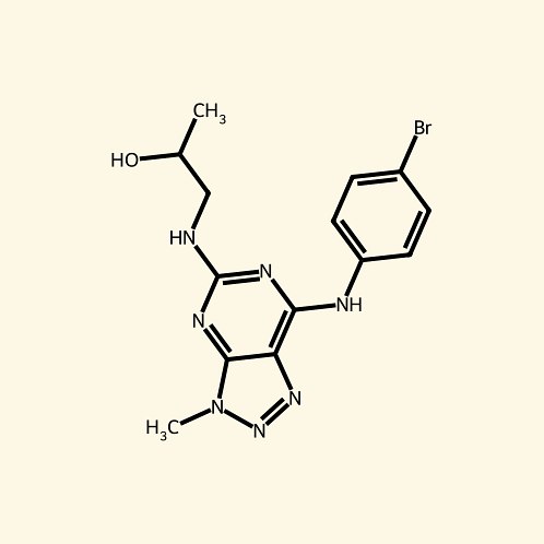 CC(O)CNc1nc(Nc2ccc(Br)cc2)c2nnn(C)c2n1